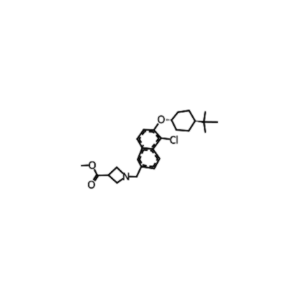 COC(=O)C1CN(Cc2ccc3c(Cl)c(O[C@H]4CC[C@H](C(C)(C)C)CC4)ccc3c2)C1